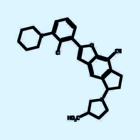 N#Cc1c2c(cc3cc(-c4cccc(N5CCCCC5)c4Cl)oc13)C(N1CCC(C(=O)O)C1)CC2